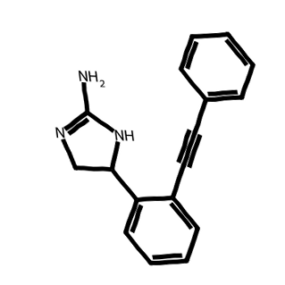 NC1=NCC(c2ccccc2C#Cc2ccccc2)N1